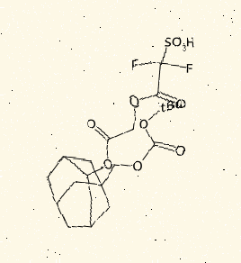 CC(C)(C)OC(=O)OCC12CC3CC(C1)C(OC(=O)COC(=O)C(F)(F)S(=O)(=O)O)C(C3)C2